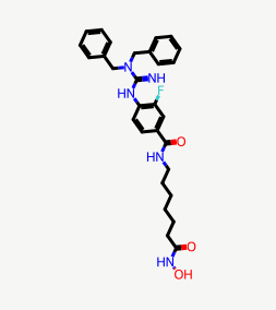 N=C(Nc1ccc(C(=O)NCCCCCCC(=O)NO)cc1F)N(Cc1ccccc1)Cc1ccccc1